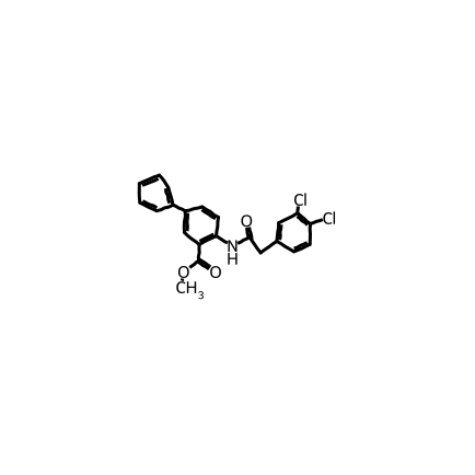 COC(=O)c1cc(-c2ccccc2)ccc1NC(=O)Cc1ccc(Cl)c(Cl)c1